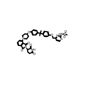 CC(C)(c1ccc(OCc2ccnc(NS(C)(=O)=O)n2)cc1)c1ccc(OC2CCN(c3cccc4c3C(=O)N(C3CCC(=O)NC3=O)C4=O)CC2)cc1